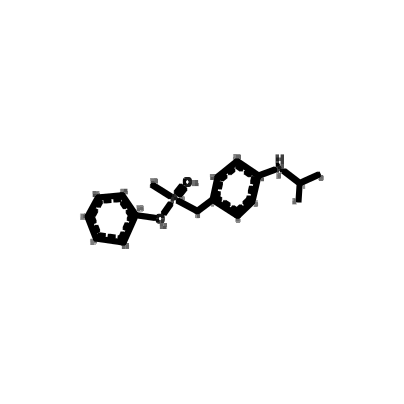 CC(C)Nc1ccc(CP(C)(=O)Oc2ccccc2)cc1